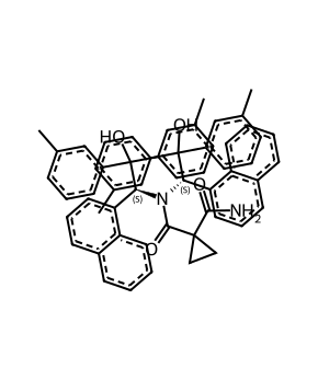 Cc1cccc(C(O)(c2cccc(C)c2)[C@H](c2cccc3ccccc23)N(C(=O)C2(C(N)=O)CC2)[C@@H](c2cccc3ccccc23)C(O)(c2cccc(C)c2)c2cccc(C)c2)c1